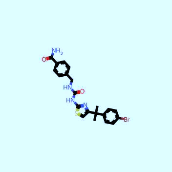 CC(C)(c1ccc(Br)cc1)c1csc(NC(=O)NCc2ccc(C(N)=O)cc2)n1